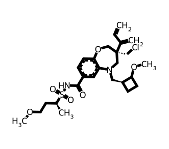 C=CC(=C)[C@]1(CCl)COc2ccc(C(=O)NS(=O)(=O)[C@@H](C)CCOC)cc2N(C[C@@H]2CCC2OC)C1